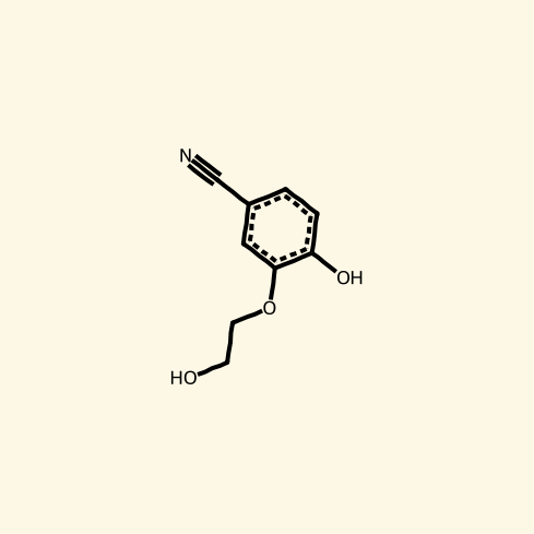 N#Cc1ccc(O)c(OCCO)c1